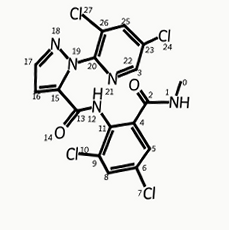 CNC(=O)c1cc(Cl)cc(Cl)c1NC(=O)c1ccnn1-c1ncc(Cl)cc1Cl